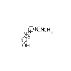 CN1CCN(C2CCCN(c3nc4ccc(O)cc4s3)C2)CC1